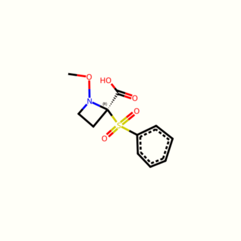 CON1CC[C@]1(C(=O)O)S(=O)(=O)c1ccccc1